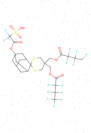 O=C(OCC1(COC(=O)C(F)(F)C(F)(F)C(F)(F)F)CSC2(SC1)C1CC3CC2CC(OC(=O)C(F)(F)S(=O)(=O)O)(C3)C1)C(F)(F)C(F)(F)CF